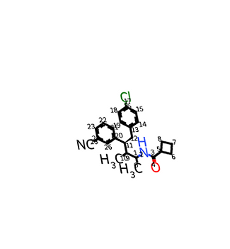 CC(NC(=O)C1CCC1)C(C)[C@H](Cc1ccc(Cl)cc1)c1cccc(C#N)c1